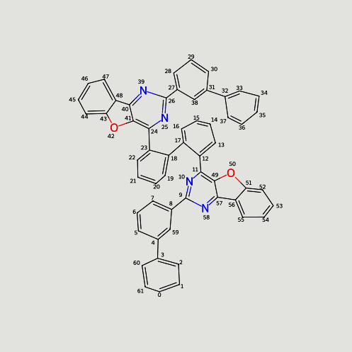 c1ccc(-c2cccc(-c3nc(-c4ccccc4-c4ccccc4-c4nc(-c5cccc(-c6ccccc6)c5)nc5c4oc4ccccc45)c4oc5ccccc5c4n3)c2)cc1